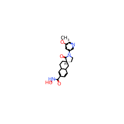 COc1cncc(N2CC[C@]3(CCC4C=C(C(=O)NO)C=CC4C3)C2=O)c1